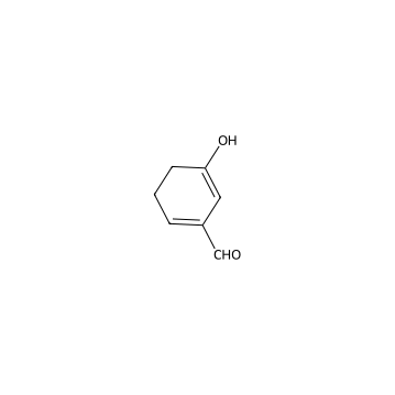 O=CC1=CCCC(O)=C1